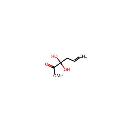 C=CCC(O)(O)C(=O)OC